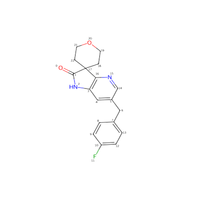 O=C1Nc2cc(Cc3ccc(F)cc3)cnc2C12CCOCC2